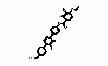 CCOc1ccc(C(=O)Oc2ccc(-c3ccc(C4CCC(CO)CC4)c(F)c3F)cc2)c(F)c1F